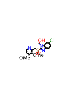 COc1ccnc(C[S+]([O-])c2nc3ccc(Cl)cc3n2CO)c1OC